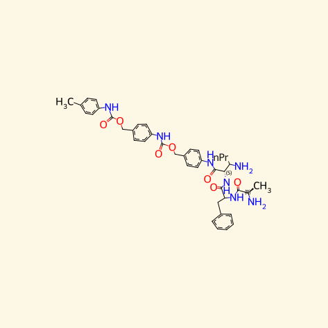 CCCC(N)[C@H](NC(=O)C(Cc1ccccc1)NC(=O)[C@@H](C)N)C(=O)Nc1ccc(COC(=O)Nc2ccc(COC(=O)Nc3ccc(C)cc3)cc2)cc1